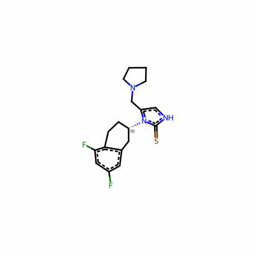 Fc1cc(F)c2c(c1)C[C@@H](n1c(CN3CCCC3)c[nH]c1=S)CC2